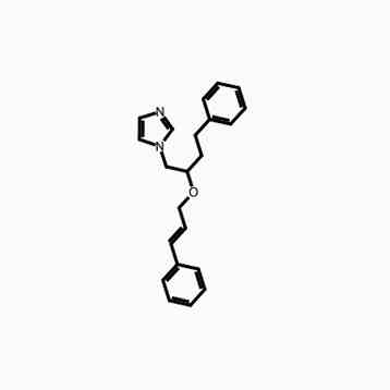 C(=Cc1ccccc1)COC(CCc1ccccc1)Cn1ccnc1